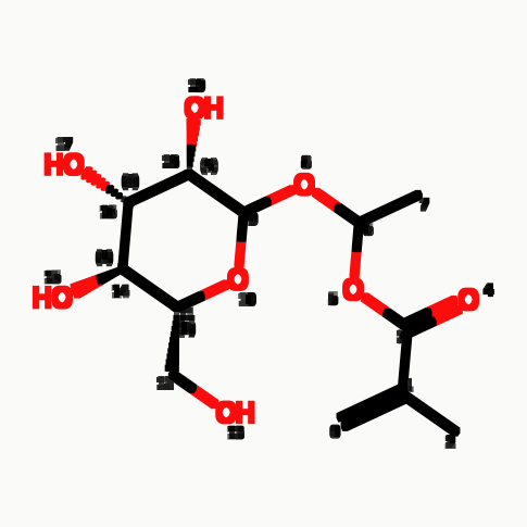 C=C(C)C(=O)OC(C)OC1O[C@H](CO)[C@@H](O)[C@H](O)[C@@H]1O